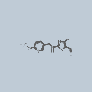 COc1ccc(CNc2nc(Cl)c(C=O)s2)cn1